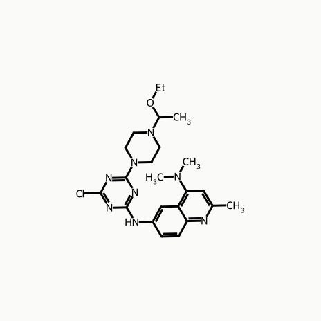 CCOC(C)N1CCN(c2nc(Cl)nc(Nc3ccc4nc(C)cc(N(C)C)c4c3)n2)CC1